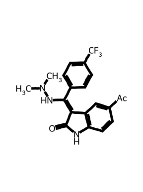 CC(=O)c1ccc2c(c1)/C(=C(/NN(C)C)c1ccc(C(F)(F)F)cc1)C(=O)N2